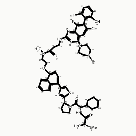 CN[C@@H](C)C(=O)N[C@H](C(=O)N1CCC[C@H]1c1nc(-c2ccc(OCCN(C)C(=O)CCNc3nc(N4CCN(C(C)=O)CC4)c4cc(Cl)c(-c5c(O)cccc5F)c(F)c4n3)c3ccccc23)cs1)C1CCCCC1